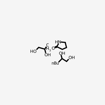 CC(O)CO.CCCCC(O)CO.O=C1CCCN1